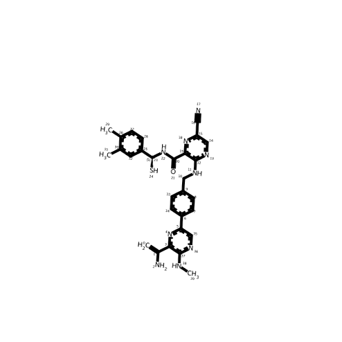 C=C(N)c1nc(-c2ccc(CNc3ncc(C#N)nc3C(=O)N[C@@H](S)c3ccc(C)c(C)c3)cc2)cnc1NC